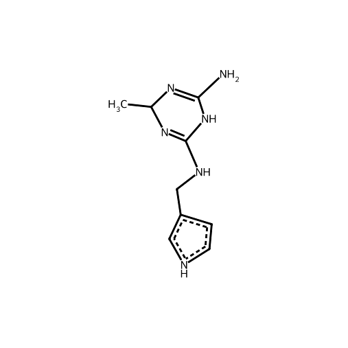 CC1N=C(N)NC(NCc2cc[nH]c2)=N1